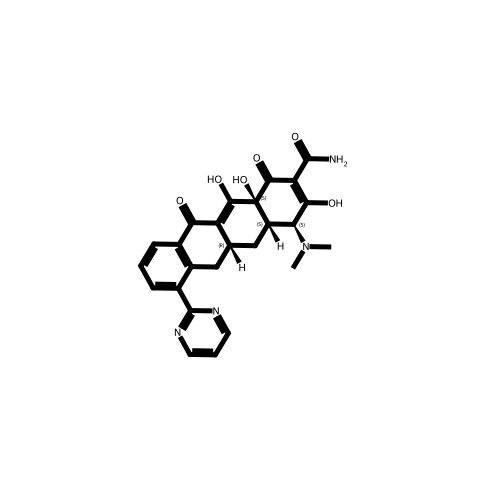 CN(C)[C@@H]1C(O)=C(C(N)=O)C(=O)[C@@]2(O)C(O)=C3C(=O)c4cccc(-c5ncccn5)c4C[C@H]3C[C@@H]12